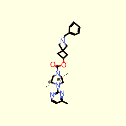 Cc1ccnc(N2C[C@@H](C)N(C(=O)OC3CC4(C3)CN(Cc3ccccc3)C4)C[C@H]2C)n1